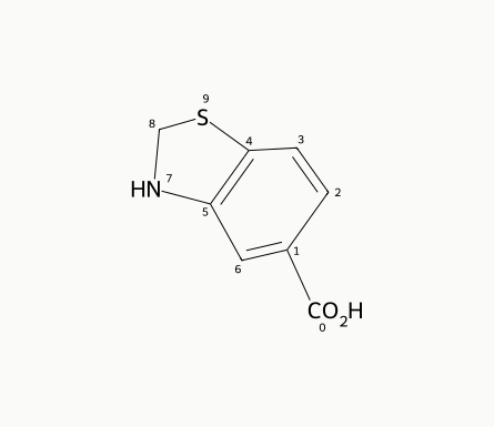 O=C(O)c1ccc2c(c1)NCS2